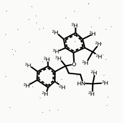 [2H]c1c([2H])c([2H])c(C([2H])(CCNC([2H])([2H])[2H])Oc2c([2H])c([2H])c([2H])c([2H])c2C([2H])([2H])[2H])c([2H])c1[2H]